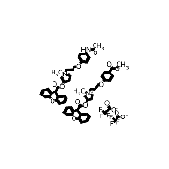 CC(=O)Nc1ccc(OCCC[N+]2(C)CCC(OC(=O)C3c4ccccc4Oc4ccccc43)C2)cc1.COC(=O)c1ccc(OCCC[N+]2(C)CCC(OC(=O)C3c4ccccc4Oc4ccccc43)C2)cc1.O=C([O-])C(F)(F)F.O=C([O-])C(F)(F)F